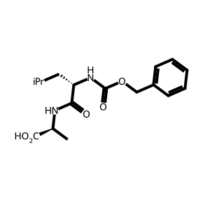 CC(C)C[C@H](NC(=O)OCc1ccccc1)C(=O)N[C@@H](C)C(=O)O